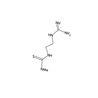 CNC(=S)NCCNC(=N)N